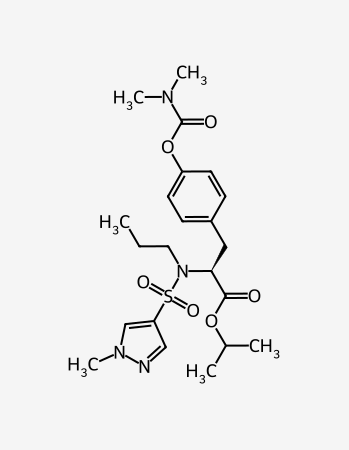 CCCN([C@@H](Cc1ccc(OC(=O)N(C)C)cc1)C(=O)OC(C)C)S(=O)(=O)c1cnn(C)c1